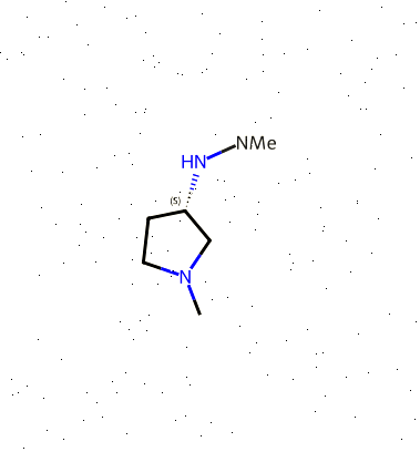 CNN[C@H]1CCN(C)C1